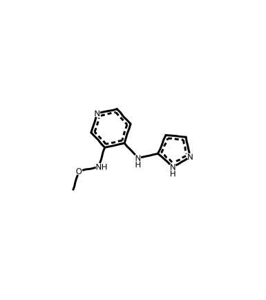 CONc1cnccc1Nc1ccn[nH]1